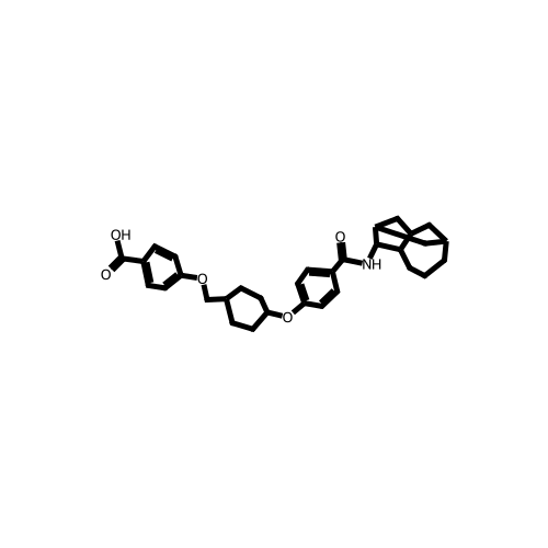 O=C(O)c1ccc(OCC2CCC(Oc3ccc(C(=O)NC4C5CC6CCCC4C(C6)C5)cc3)CC2)cc1